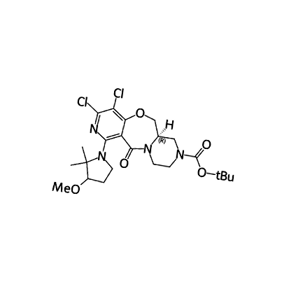 COC1CCN(c2nc(Cl)c(Cl)c3c2C(=O)N2CCN(C(=O)OC(C)(C)C)C[C@@H]2CO3)C1(C)C